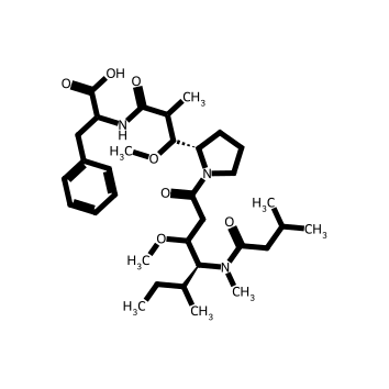 CCC(C)[C@@H](C(CC(=O)N1CCC[C@H]1C(OC)C(C)C(=O)NC(Cc1ccccc1)C(=O)O)OC)N(C)C(=O)CC(C)C